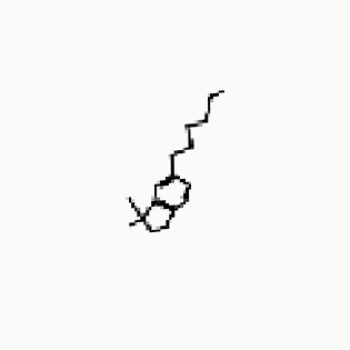 CCCCCCc1ccc2c(c1)C(C)(C)CC2